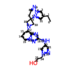 CCc1cnn(C2(CC#N)CN(c3cccn4nc(Nc5cnn(CCO)c5)nc34)C2)c1